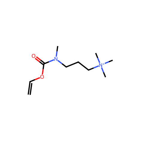 C=COC(=O)N(C)CCC[N+](C)(C)C